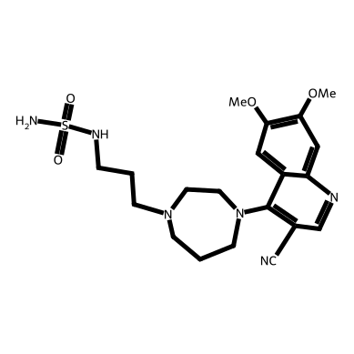 COc1cc2ncc(C#N)c(N3CCCN(CCCNS(N)(=O)=O)CC3)c2cc1OC